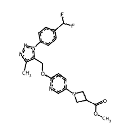 COC(=O)C1CN(c2ccc(OCc3c(C)nnn3-c3ccc(C(F)F)cc3)nc2)C1